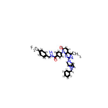 Cc1nc(N2CC3CC2CN3Cc2ccccc2)nc2c1ccc(=O)n2-c1ccc(C(=O)NCc2ccc(C(F)(F)F)cc2)cc1